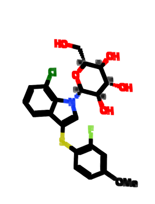 COc1ccc(Sc2cn([C@@H]3O[C@H](CO)[C@@H](O)[C@H](O)[C@H]3O)c3c(Cl)cccc23)c(F)c1